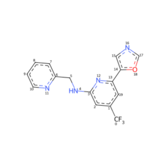 FC(F)(F)c1cc(NCc2ccccn2)nc(-c2cnco2)c1